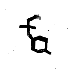 CC(C)(CN)Oc1ccc(I)cc1